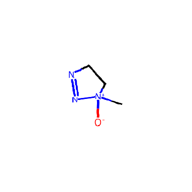 C[N+]1([O-])CCN=N1